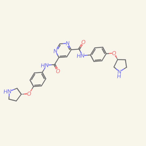 O=C(Nc1ccc(O[C@H]2CCNC2)cc1)c1cc(C(=O)Nc2ccc(O[C@H]3CCNC3)cc2)ncn1